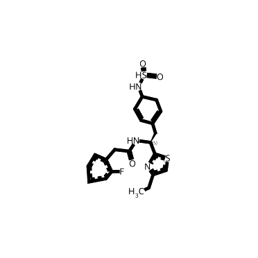 CCc1csc([C@H](CC2=CCC(N[SH](=O)=O)C=C2)NC(=O)Cc2ccccc2F)n1